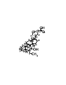 CC[C@@H]1[C@@H](O)[C@@H]2[C@H](CC[C@]3(C)[C@@H]([C@H](CO)CCC(=O)O)CC[C@@H]23)[C@@]2(C)CCCC[C@@H]12